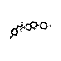 O=S(=O)(Cc1ccc(F)cc1)N1CCc2nc(N3CCNCC3)ccc2C1